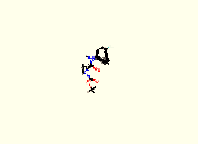 CN(C(=O)C1CCN1C(=O)OC(C)(C)C)c1ccc(F)cc1